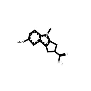 COc1ccc2c(c1)c1c(n2C)CC(C(N)=O)C1